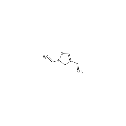 C=CC1=CON(C=C)C1